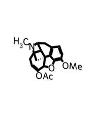 COc1ccc2c3c1OC1C(OC(C)=O)=CCC45C[C@]31C4C(C2)N5C